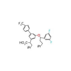 CC(C)CCC(Oc1cc(-c2ccc(C(F)(F)F)cc2)cc(C(CC(C)C)C(=O)O)c1)c1cc(F)cc(F)c1